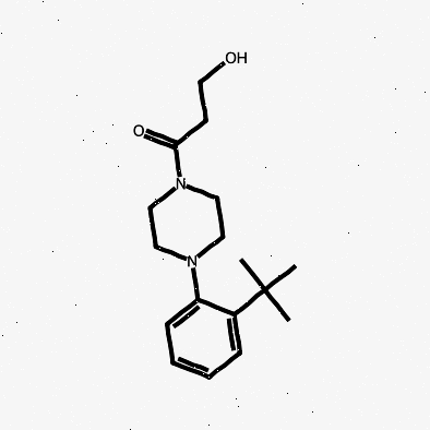 CC(C)(C)c1ccccc1N1CCN(C(=O)CCO)CC1